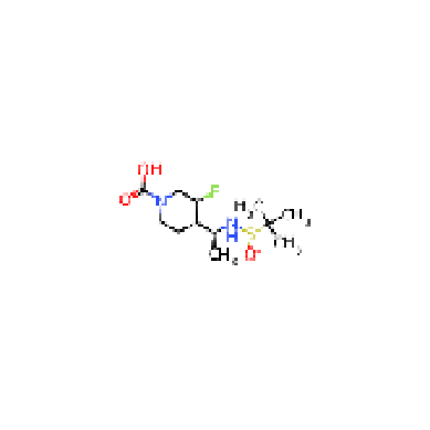 C[C@H](N[S@+]([O-])C(C)(C)C)[C@H]1CCN(C(=O)O)C[C@H]1F